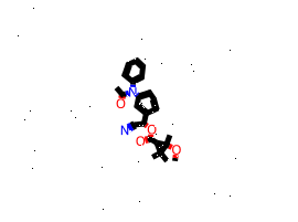 COC1(C)C(C(=O)OC(C#N)c2cccc(N(C(C)=O)c3ccccc3)c2)C1(C)C